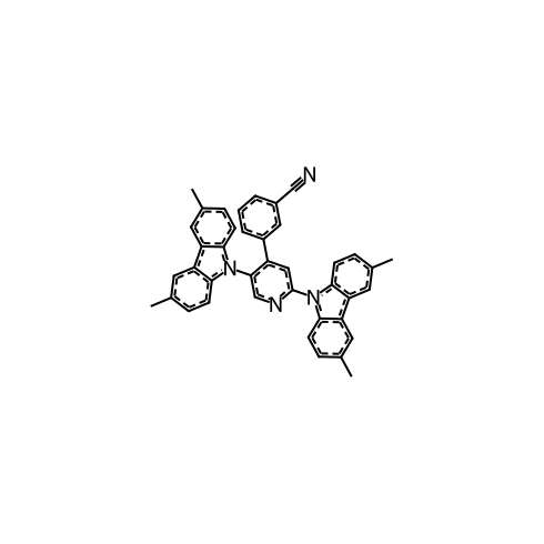 Cc1ccc2c(c1)c1cc(C)ccc1n2-c1cc(-c2cccc(C#N)c2)c(-n2c3ccc(C)cc3c3cc(C)ccc32)cn1